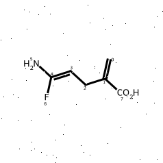 C=C(CC=C(N)F)C(=O)O